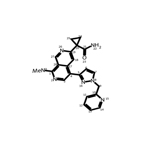 CNc1ncc(-c2ccn(Cc3ccccn3)n2)c2cc(C3(C(N)=O)CC3)ncc12